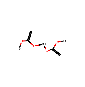 C=C(OBOC(=C)OCC)OCC